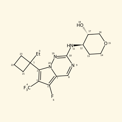 CCC1(c2c(C(F)(F)F)c(F)c3cnc(N[C@@H]4CCOC[C@H]4O)nn23)CCC1